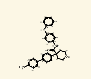 Nc1ncc(-c2ccc(C3(C(=O)Nc4ccc(Oc5ccccc5)cn4)CCOCC3)cc2)cn1